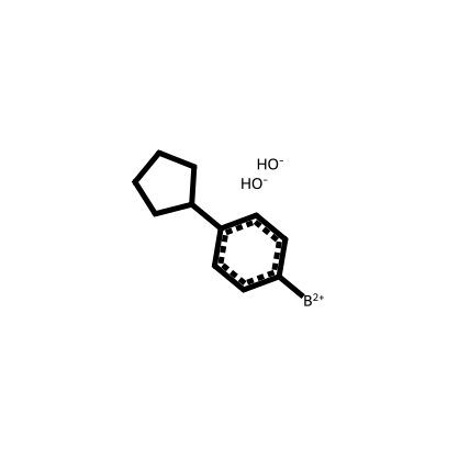 [B+2]c1ccc(C2CCCC2)cc1.[OH-].[OH-]